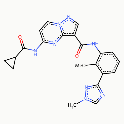 COc1c(NC(=O)c2cnn3ccc(NC(=O)C4CC4)nc23)cccc1-c1ncn(C)n1